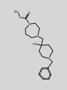 CC(C)(C)OC(=O)N1CCCN(CC2(O)CCN(Cc3ccccc3)CC2)CC1